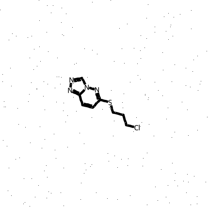 ClCCCSc1ccc2nncn2n1